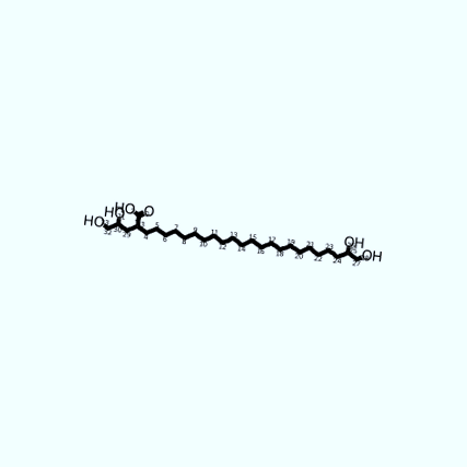 O=C(O)C(CCCCCCCCCCCCCCCCCCCCCC(O)CO)CC(O)CO